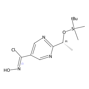 C[C@@H](O[Si](C)(C)C(C)(C)C)c1ncc(/C(Cl)=N/O)cn1